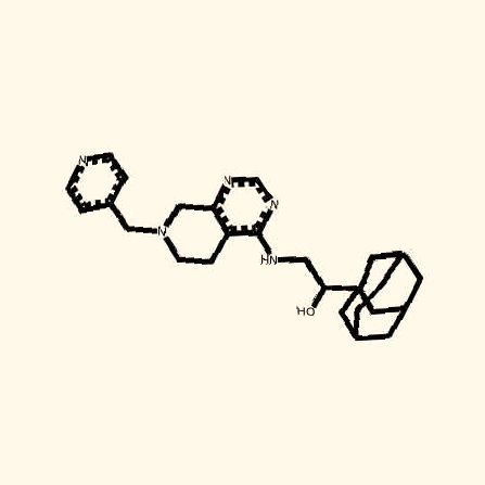 OC(CNc1ncnc2c1CCN(Cc1ccncc1)C2)C12CC3CC(CC(C3)C1)C2